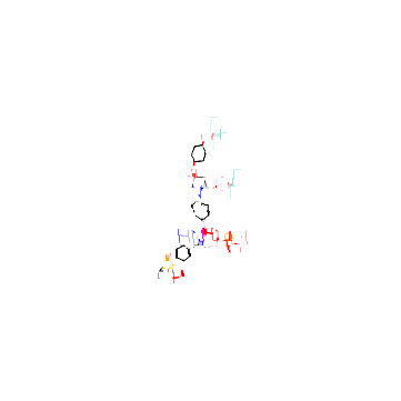 CCS(=O)(=O)c1ccc([C@H](CCOP(=O)(O)O)NC(=O)c2ccc(N3C[C@@H](Oc4ccc(OC(F)(F)F)cc4)C[C@H]3COC(F)F)cc2)cc1